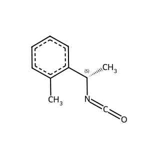 Cc1ccccc1[C@H](C)N=C=O